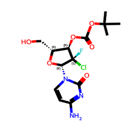 CC(C)(C)OC(=O)O[C@@H]1[C@@H](CO)O[C@@H](n2ccc(N)nc2=O)[C@@]1(F)Cl